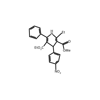 CCOC(=O)C1=C(c2ccccc2)NC(CC)=C(C(=O)OC)C1c1ccc([N+](=O)[O-])cc1